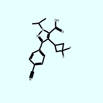 CC(C)n1nc(-c2ccc(C#N)cc2)c(C2CC(F)(F)C2)c1C(=O)O